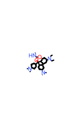 CCN(CC)c1ccc2c(c1)OC(NC)OC2(c1ccc(N(C)C)cc1)c1ccc(N(C)C)cc1